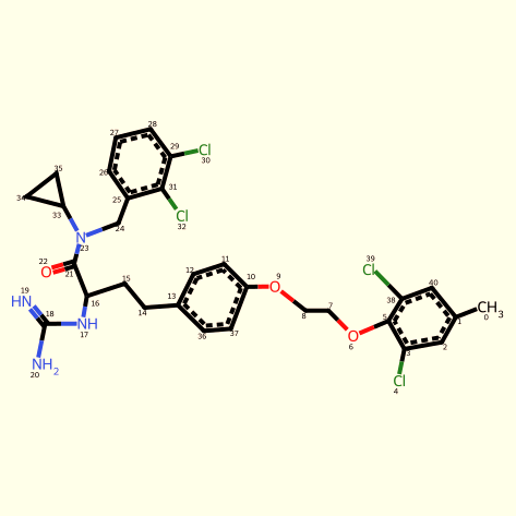 Cc1cc(Cl)c(OCCOc2ccc(CCC(NC(=N)N)C(=O)N(Cc3cccc(Cl)c3Cl)C3CC3)cc2)c(Cl)c1